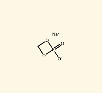 O=P1([O-])OCO1.[Na+]